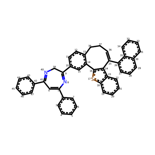 C1=C(c2ccccc2)N=C(c2ccc3c(c2)-c2sc4ccccc4c2/C(c2cccc4ccccc24)=C\CC3)CN=C1c1ccccc1